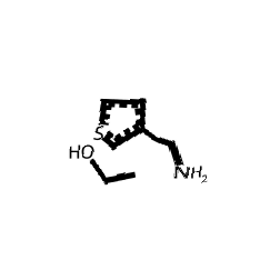 CCO.NCc1ccsc1